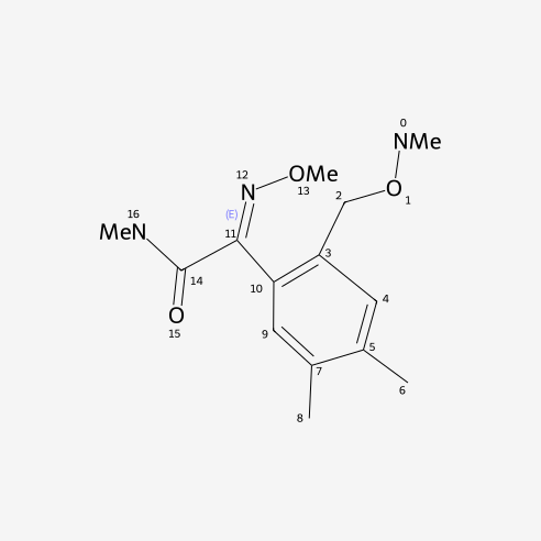 CNOCc1cc(C)c(C)cc1/C(=N\OC)C(=O)NC